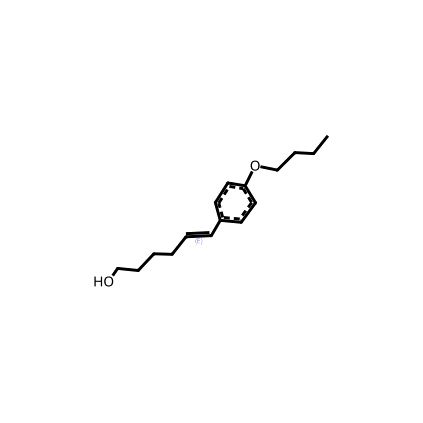 CCCCOc1ccc(/C=C/CCCCO)cc1